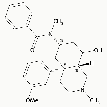 COc1cccc([C@@]23CCN(C)C[C@H]2C(O)C[C@@H](N(C)C(=O)c2ccccc2)C3)c1